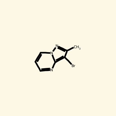 Cc1nn2cccnc2c1Br